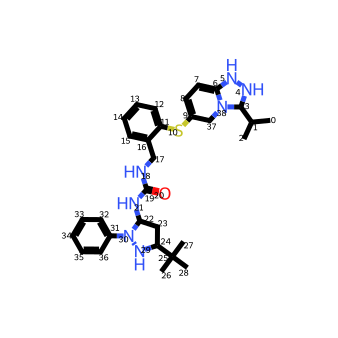 CC(C)C1NNC2=CC=C(Sc3ccccc3CNC(=O)NC3CC(C(C)(C)C)NN3c3ccccc3)CN21